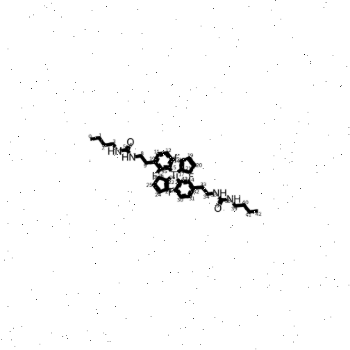 CCCCNC(=O)NCCc1ccc(F)[c]([Ti]([C]2=CC=CC2)([C]2=CC=CC2)[c]2c(F)ccc(CCNC(=O)NCCCC)c2F)c1F